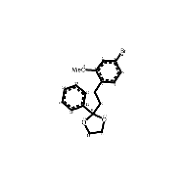 COc1cc(Br)ccc1CCC1(c2ccccc2)OCCO1